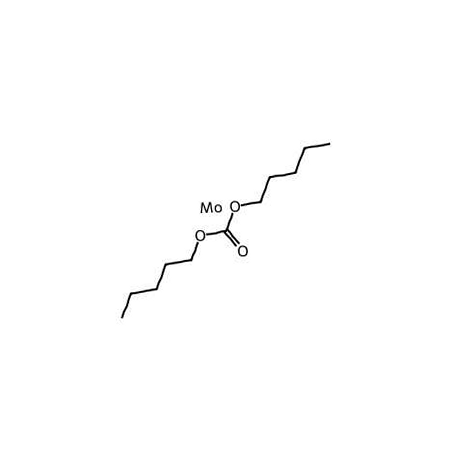 CCCCCOC(=O)OCCCCC.[Mo]